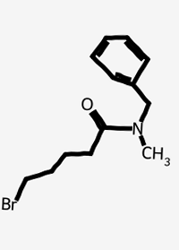 CN(Cc1ccccc1)C(=O)CCCCBr